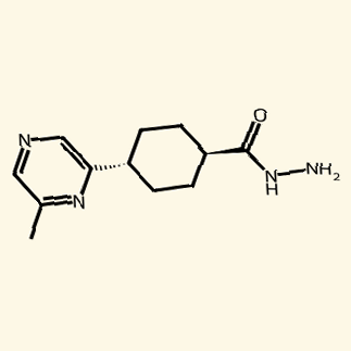 Cc1cncc([C@H]2CC[C@H](C(=O)NN)CC2)n1